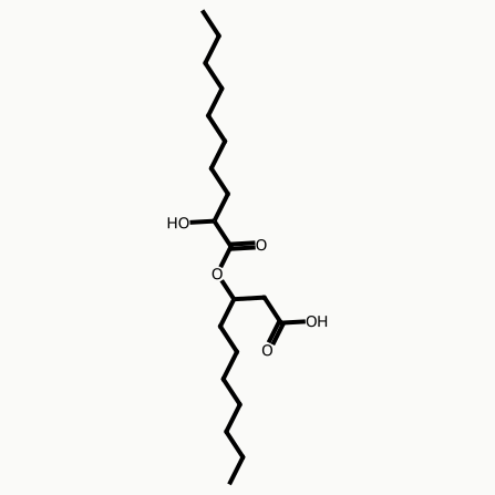 CCCCCCCCC(O)C(=O)OC(CCCCCCC)CC(=O)O